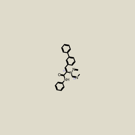 C=NN(/C=N\C)/C(=C\c1cccc(-c2ccccc2)c1)C(=O)Nc1ccccc1